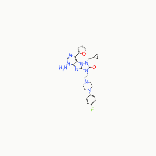 NN1C=NC(c2ccco2)=C2C1=NC1N(CCN3CCN(c4ccc(F)cc4)CC3)C(=O)N(CC3CC3)N21